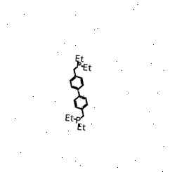 CCP(CC)Cc1ccc(-c2ccc(CP(CC)CC)cc2)cc1